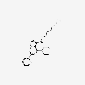 COCCCCNC(=O)c1csc2nc(-c3ccccn3)nc(C3CCSCC3)c12